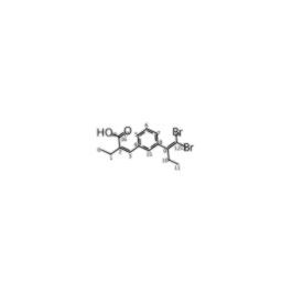 CCC(=Cc1cccc(C(CC)=C(Br)Br)c1)C(=O)O